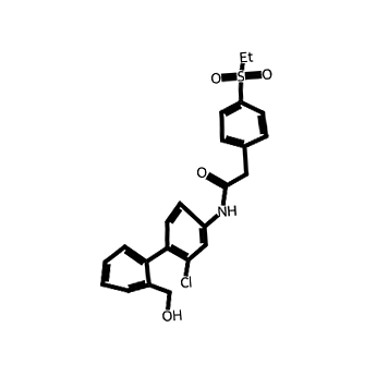 CCS(=O)(=O)c1ccc(CC(=O)Nc2ccc(-c3ccccc3CO)c(Cl)c2)cc1